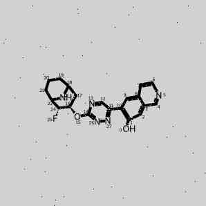 Oc1cc2cnccc2cc1-c1cnc(O[C@@H]2CC3CCCC(N3)[C@H]2F)nn1